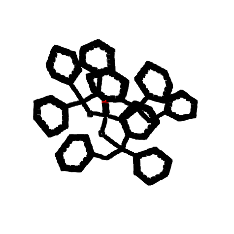 O=P(OC(Cc1ccccc1)(c1ccccc1)c1ccccc1)(OC(Cc1ccccc1)(c1ccccc1)c1ccccc1)OC(Cc1ccccc1)(c1ccccc1)c1ccccc1